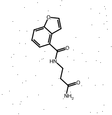 NC(=O)[CH]CNC(=O)c1cccc2occc12